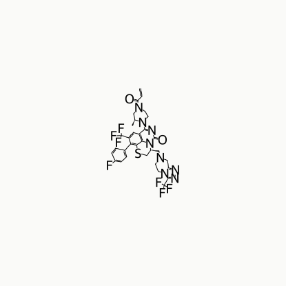 C=CC(=O)N1CCN(c2nc(=O)n3c4c(c(-c5ccc(F)cc5)c(C(F)(F)F)cc24)SC[C@@H]3CN2CCn3c(nnc3C(F)(F)F)C2)[C@@H](C)C1